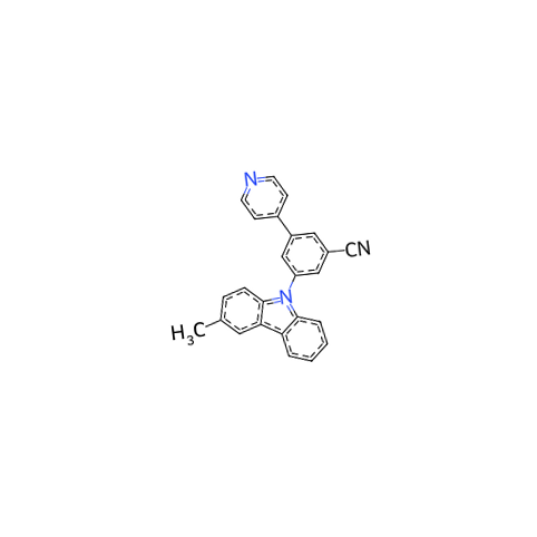 Cc1ccc2c(c1)c1ccccc1n2-c1cc(C#N)cc(-c2ccncc2)c1